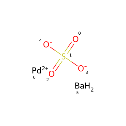 O=S(=O)([O-])[O-].[BaH2].[Pd+2]